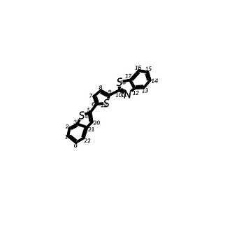 c1ccc2sc(-c3ccc(-c4nc5ccccc5s4)s3)cc2c1